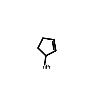 C[CH]CC1C=CCC1